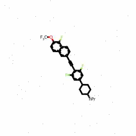 CCCC1CCC(c2cc(F)c(C#Cc3ccc4c(F)c(OC(F)(F)F)ccc4c3)c(F)c2)CC1